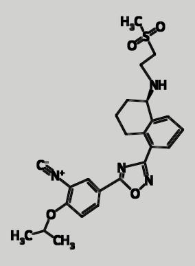 [C-]#[N+]c1cc(-c2nc(-c3cccc4c3CCC[C@H]4NCCS(C)(=O)=O)no2)ccc1OC(C)C